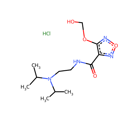 CC(C)N(CCNC(=O)c1nonc1OCO)C(C)C.Cl